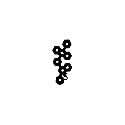 c1ccc(-c2c3ccccc3c(-c3cccc(-c4cc5c6ccccc6sc5c5ccccc45)c3)c3ccccc23)cc1